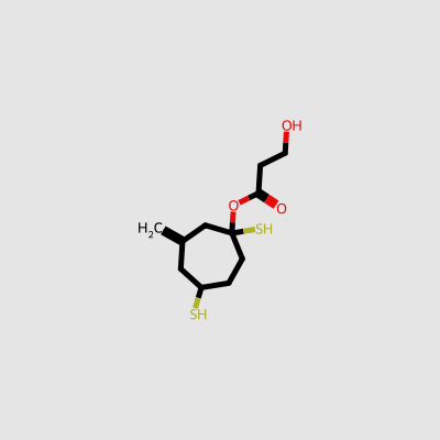 C=C1CC(S)CCC(S)(OC(=O)CCO)C1